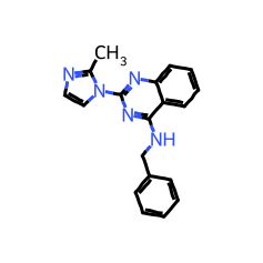 Cc1nccn1-c1nc(NCc2ccccc2)c2ccccc2n1